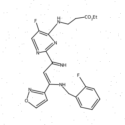 CCOC(=O)CCNc1nc(C(=N)/C=C(\NCc2ccccc2F)c2ccon2)ncc1F